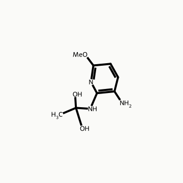 COc1ccc(N)c(NC(C)(O)O)n1